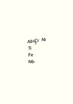 [AlH3].[Cr].[Fe].[Nb].[Ni].[Ti]